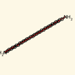 NCCCCCOCCOCCOCCOCCOCCOCCOCCOCCOCCOCCOCCOCCOCCOCCOCCOCCOCCOCCOCCOCCOCCOCCOCCOCCOCCOCCOCCOCCOCCOCCOCCCN